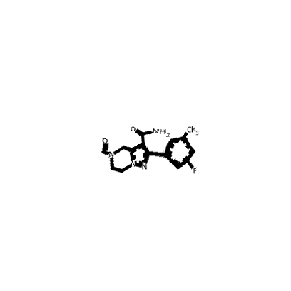 Cc1cc(F)cc(-c2nn3c(c2C(N)=O)CN(C=O)CC3)c1